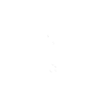 CCCCc1cn(C2CCCCC2)c(=O)n1Cc1ccc(-c2ccccc2-c2nnn[nH]2)cc1